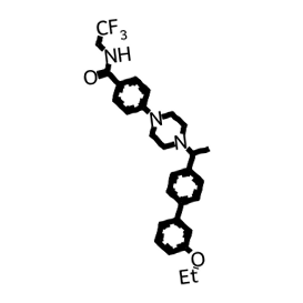 CCOc1cccc(-c2ccc(C(C)N3CCN(c4ccc(C(=O)NCC(F)(F)F)cc4)CC3)cc2)c1